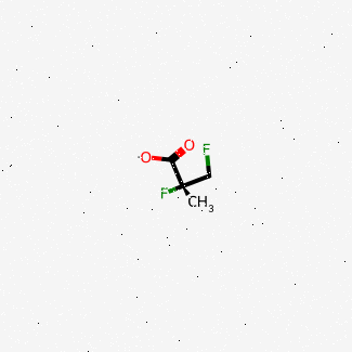 C[C@](F)(CF)C([O])=O